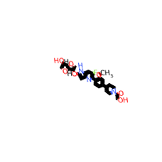 COc1cc(C2=CCN(C(=O)CO)CC2)ccc1-c1nc2cc(O[C@@H]3CO[C@H]4[C@@H]3OC[C@H]4O)[nH]c2cc1F